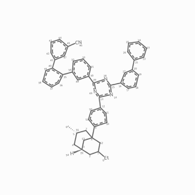 CCC1C[C@@H]2C[C@H](C)CC(c3ccc(-c4nc(-c5cccc(-c6ccccc6)c5)nc(-c5cccc(-c6ccccc6-c6cccc(C#N)c6)c5)n4)cc3)(C1)C2